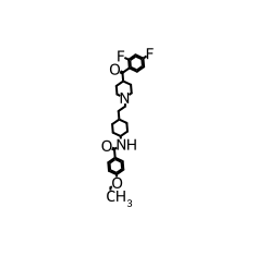 CCOc1ccc(C(=O)NC2CCC(CCN3CCC(C(=O)c4ccc(F)cc4F)CC3)CC2)cc1